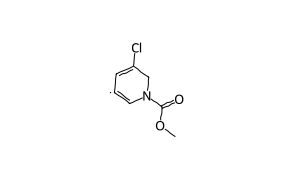 COC(=O)N1C=[C]C=C(Cl)C1